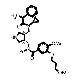 COCCCOc1cc(C(=O)N(C[C@@H]2CNC[C@H]2CN(C(=O)C(C)c2ccccc2)C2CC2)C(C)C)ccc1OC